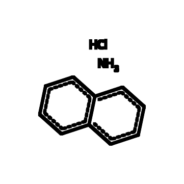 Cl.N.c1ccc2ccccc2c1